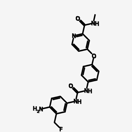 CNC(=O)c1cc(Oc2ccc(NC(=O)Nc3ccc(N)c(CF)c3)cc2)ccn1